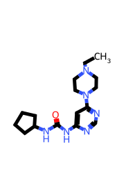 CCN1CCN(c2cc(NC(=O)NC3CCCC3)ncn2)CC1